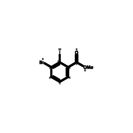 COC(=O)c1cccc(Br)c1I